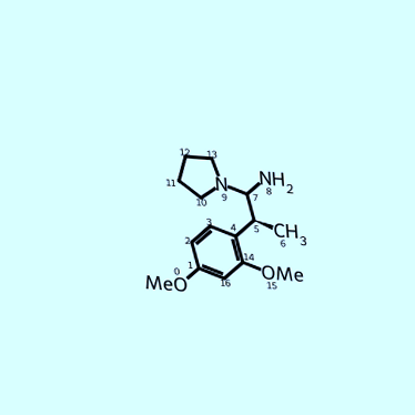 COc1ccc([C@H](C)C(N)N2CCCC2)c(OC)c1